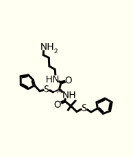 CC(C)(CSCc1ccccc1)C(=O)N[C@@H](CSCc1ccccc1)C(=O)NCCCCN